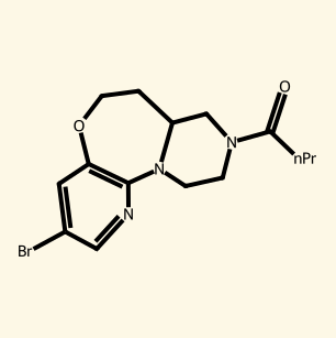 CCCC(=O)N1CCN2c3ncc(Br)cc3OCCC2C1